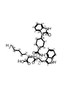 C[C@@H](c1c[nH]c2ccccc12)[C@@H](NC(=O)N1CCC(n2c(=O)[nH]c3ccccc32)CC1)C(=O)N[C@@H](CCCCN)C(=O)O